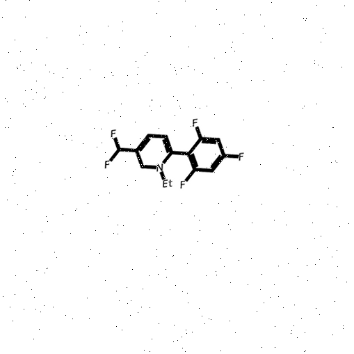 CCN1CC(C(F)F)=CC=C1c1c(F)cc(F)cc1F